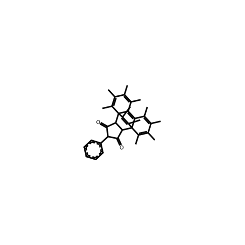 CC1=C(C)C2=C3C(C)=C(C)C(C)=C(C)C34C(C)=C(C)C2(C(C)=C1C)C1C(=O)C(c2ccccc2)C(=O)C14